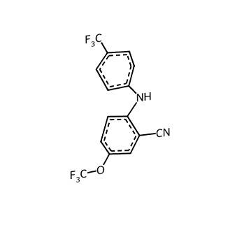 N#Cc1cc(OC(F)(F)F)ccc1Nc1ccc(C(F)(F)F)cc1